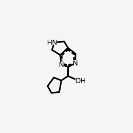 OC(c1ncc2c(n1)CNC2)C1CCCC1